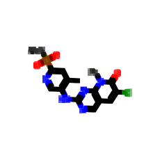 CNS(=O)(=O)c1cc(C)c(Nc2ncc3cc(Cl)c(=O)n(C(C)C)c3n2)cn1